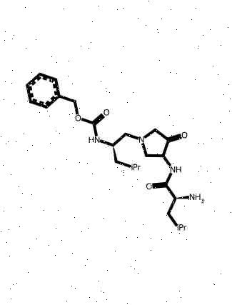 CC(C)C[C@H](CN1CC(=O)C(NC(=O)[C@@H](N)CC(C)C)C1)NC(=O)OCc1ccccc1